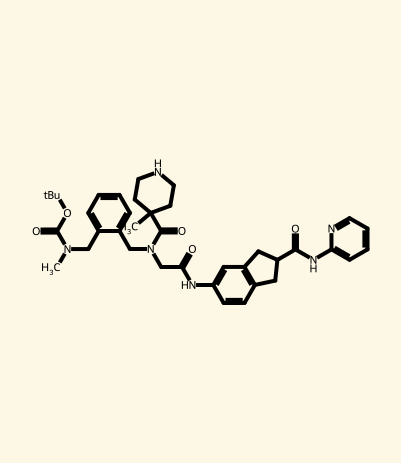 CN(Cc1ccccc1CN(CC(=O)Nc1ccc2c(c1)CC(C(=O)Nc1ccccn1)C2)C(=O)C1(C)CCNCC1)C(=O)OC(C)(C)C